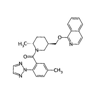 Cc1ccc(-n2nccn2)c(C(=O)N2C[C@H](COc3nccc4ccccc34)CC[C@H]2C)c1